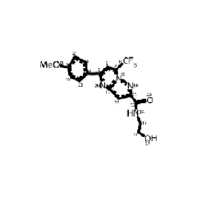 COc1ccc(-c2cc(C(F)(F)F)n3nc(C(=O)NCCO)cc3n2)cc1